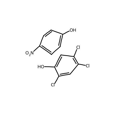 O=[N+]([O-])c1ccc(O)cc1.Oc1cc(Cl)c(Cl)cc1Cl